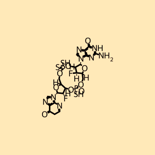 Nc1nc2c(ncn2[C@@H]2O[C@@H]3CO[P@@](=O)(S)O[C@H]4[C@H](F)[C@H](n5cnc6c5N=CCC6=O)O[C@@H]4CO[P@@](=S)(S)O[C@@H]2[C@@H]3F)c(=O)[nH]1